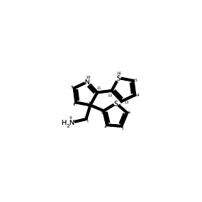 NCC1(c2cccs2)C=CN=C1c1cccs1